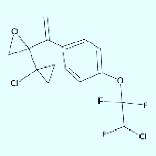 C=C(c1ccc(OC(F)(F)C(F)Cl)cc1)C1(C2(Cl)CC2)CO1